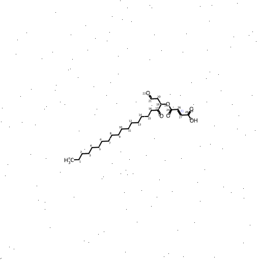 CCCCCCCCCCCCCCCCCC(=O)C(CC=O)OC(=O)/C=C/C(=O)O